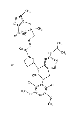 COc1cc(OC)c(Cl)c(N2Cc3cnc(NC(C)C)nc3N(C3CCN(C(=O)C=CC[N+](C)(C)Cc4c([N+](=O)[O-])ncn4C)C3)C2=O)c1Cl.[Br-]